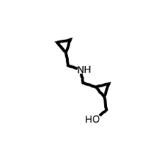 OCC1CC1CNCC1CC1